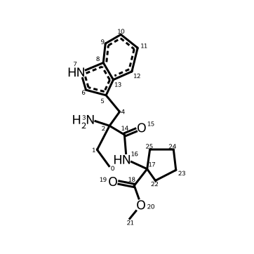 CCC(N)(Cc1c[nH]c2ccccc12)C(=O)NC1(C(=O)OC)CCCC1